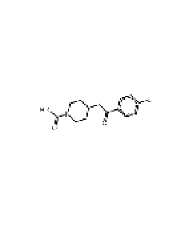 CC(=O)N1CCC(CC(=O)c2ccc(Cl)cc2)CC1